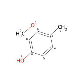 C[O].[CH2]c1ccc(O)cc1